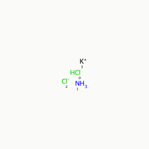 Cl.N.[Cl-].[K+]